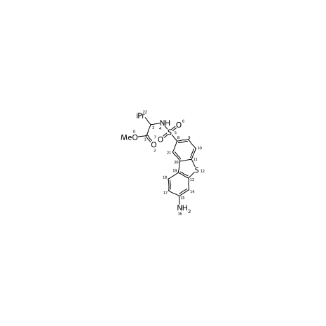 COC(=O)C(NS(=O)(=O)c1ccc2sc3cc(N)ccc3c2c1)C(C)C